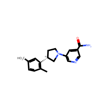 Cc1ccc(C(=O)O)cc1[C@@H]1CCN(c2cncc(C(N)=O)c2)C1